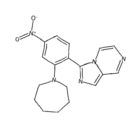 O=[N+]([O-])c1ccc(-c2ncc3cnccn23)c(N2CCCCCC2)c1